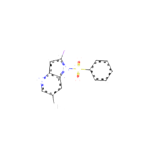 O=Cc1cnc2cc(I)n(S(=O)(=O)c3ccccc3)c2c1